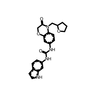 O=C(Nc1ccc2c(c1)OCC(=O)N2CC1CCCO1)Nc1ccc2cc[nH]c2c1